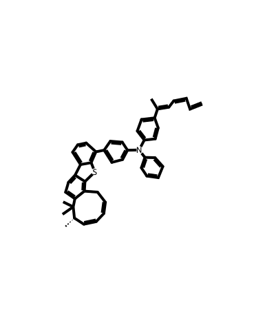 C=C/C=C\C=C(/C)c1ccc(N(c2ccccc2)c2ccc(-c3cccc4c3sc3c5c(ccc34)C(C)(C)[C@@H](C)/C=C\C=C/C5)cc2)cc1